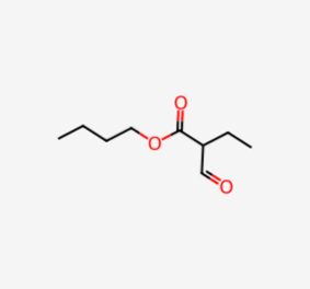 CCCCOC(=O)C(C=O)CC